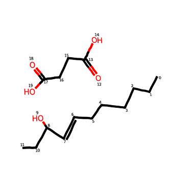 CCCCCCC=CC(O)CC.O=C(O)CCC(=O)O